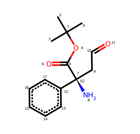 CC(C)(C)OC(=O)[C@](N)(CC=O)c1ccccc1